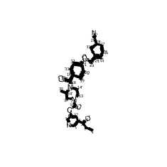 CCC(=O)c1cncc(OC(=O)N2CCN(C(=O)c3ccc(OCc4cccc(C#N)c4)cc3)C(C)C2)c1